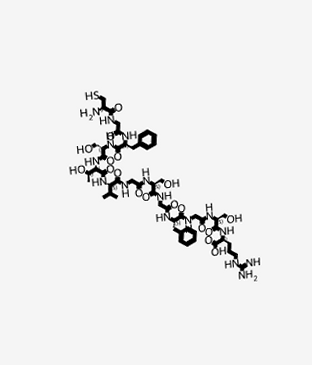 CC(C)[C@H](NC(=O)[C@@H](NC(=O)[C@H](CO)NC(=O)[C@H](Cc1ccccc1)NC(=O)CNC(=O)[C@@H](N)CS)[C@@H](C)O)C(=O)NCC(=O)N[C@@H](CO)C(=O)NCC(=O)N[C@@H](Cc1ccccc1)C(=O)NCC(=O)N[C@@H](CO)C(=O)N[C@@H](CCCNC(=N)N)C(=O)O